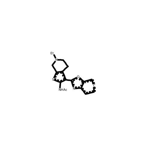 CCN1CCc2c(sc(NC(C)=O)c2-c2nc3ccccc3o2)C1